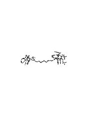 Cc1cc(SC(C)C)c(NC(=O)CCCCCCCSc2nc3ccccc3[nH]2)c(SC(C)C)n1